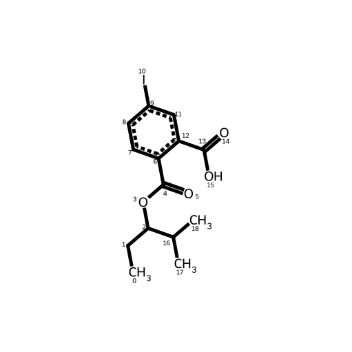 CCC(OC(=O)c1ccc(I)cc1C(=O)O)C(C)C